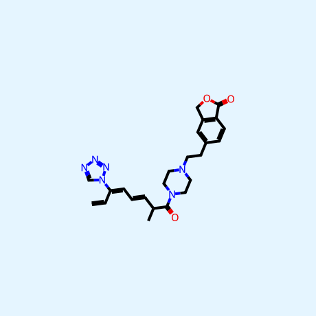 C=C/C(=C\C=C\C(C)C(=O)N1CCN(CCc2ccc3c(c2)COC3=O)CC1)n1cnnn1